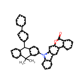 CC1(C)c2ccccc2C(c2ccc(-c3ccccc3)cc2)c2ccc(-n3c4ccccc4c4cc5c(cc43)oc(=O)c3ccccc35)cc21